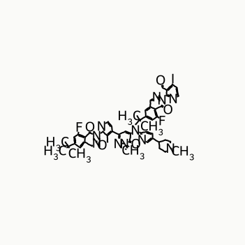 CN1CCC(c2ccc(N(CC(C)(C)c3cc(F)c4c(=O)n(-c5nccc(I)c5C=O)ncc4c3)c3cc(-c4ccnc(-n5ncc6cc(C(C)(C)C)cc(F)c6c5=O)c4C=O)nn(C)c3=O)nc2)CC1